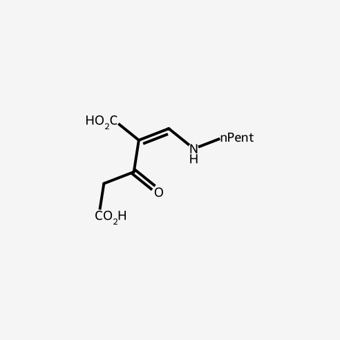 CCCCCNC=C(C(=O)O)C(=O)CC(=O)O